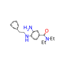 CCN(CC)C(=O)c1ccc(NCCc2ccccc2)c(N)c1